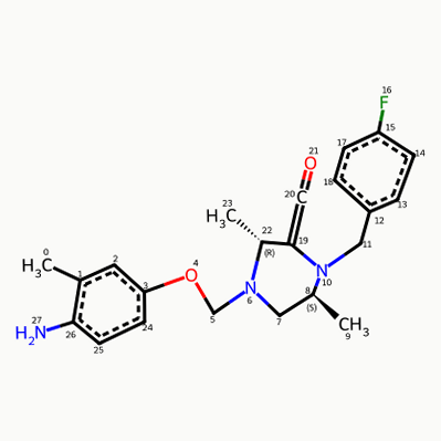 Cc1cc(OCN2C[C@H](C)N(Cc3ccc(F)cc3)C(=C=O)[C@H]2C)ccc1N